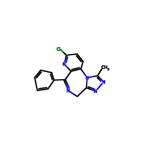 Cc1nnc2n1-c1ccc(Cl)nc1C(c1ccccc1)=NC2